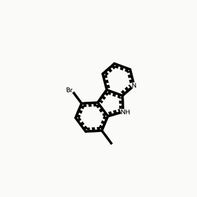 Cc1ccc(Br)c2c1[nH]c1ncccc12